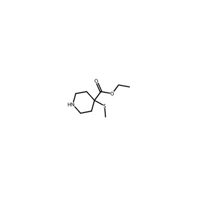 CCOC(=O)C1(SC)CCNCC1